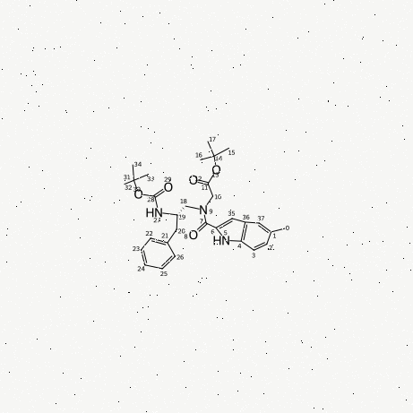 Cc1ccc2[nH]c(C(=O)N(CC(=O)OC(C)(C)C)C[C@H](Cc3ccccc3)NC(=O)OC(C)(C)C)cc2c1